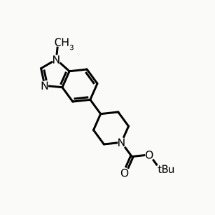 Cn1cnc2cc(C3CCN(C(=O)OC(C)(C)C)CC3)ccc21